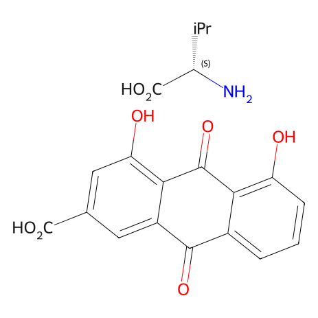 CC(C)[C@H](N)C(=O)O.O=C(O)c1cc(O)c2c(c1)C(=O)c1cccc(O)c1C2=O